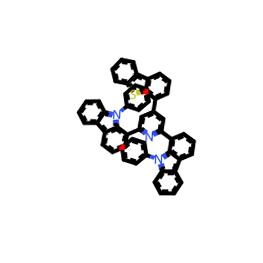 c1ccc(-n2c3ccccc3c3cccc(-c4cc(-c5cccc6c5sc5ccccc56)cc(-c5cccc6c7ccccc7n(-c7ccccc7)c56)n4)c32)cc1